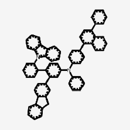 c1ccc(-c2ccc(-c3ccc(N(c4ccccc4)c4ccc(-c5ccccc5-n5c6ccccc6c6ccccc65)c(-c5ccc6c(c5)Cc5ccccc5-6)c4)cc3)c3ccccc23)cc1